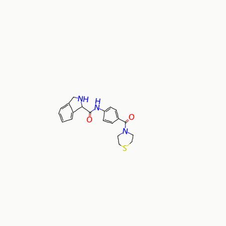 O=C(Nc1ccc(C(=O)N2CCSCC2)cc1)C1NCc2ccccc21